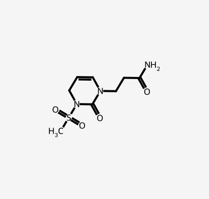 CS(=O)(=O)N1CC=CN(CCC(N)=O)C1=O